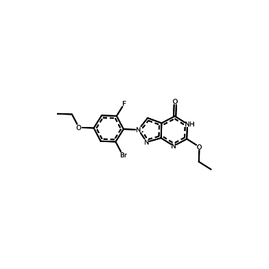 CCOc1cc(F)c(-n2cc3c(=O)[nH]c(OCC)nc3n2)c(Br)c1